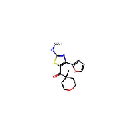 CC1(C(=O)c2sc(NC(=O)O)nc2-c2ccco2)CCOCC1